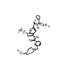 CN1CCN(Cc2cccc(C(=O)Nc3nn(C(=O)O)c4sc(C(=O)NN(C)c5ccccc5)cc34)c2)CC1